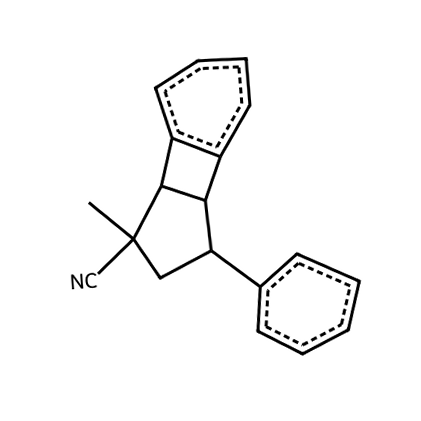 CC1(C#N)CC(c2ccccc2)C2c3ccccc3C21